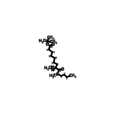 CCCCN(C)C(=O)C(CCCCCCC(=O)OC(C)(C)C)NC